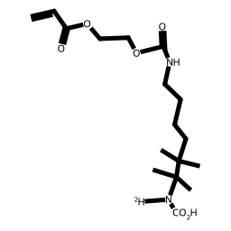 [2H]N(C(=O)O)C(C)(C)C(C)(C)CCCCNC(=O)OCCOC(=O)C=C